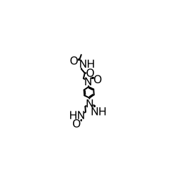 CC(=O)NCC1CN(c2ccc(N(C=N)CCNC=O)cc2)C(=O)O1